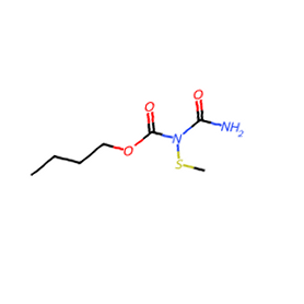 CCCCOC(=O)N(SC)C(N)=O